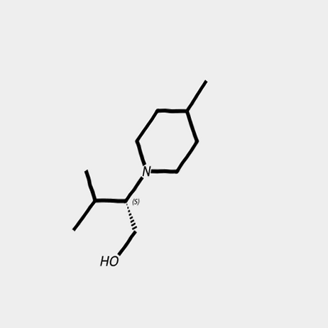 CC1CCN([C@H](CO)C(C)C)CC1